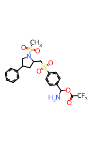 CS(=O)(=O)N1CC(c2ccccc2)CC1CS(=O)(=O)c1ccc(C(N)OC(=O)C(F)(F)F)cc1